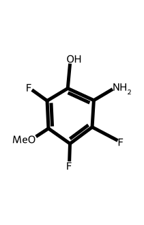 COc1c(F)c(O)c(N)c(F)c1F